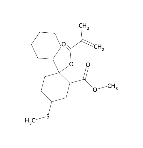 C=C(C)C(=O)OC1(C2CCCCC2)CCC(SC)CC1C(=O)OC